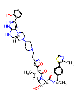 Cc1ncsc1-c1ccc([C@H](C)NC(=O)[C@@H]2C[C@@H](O)CN2C(=O)[C@@H](c2cc(CCN3CCC(N4CCN5/C(=C/C(=N)c6ccccc6O)C(=N)NC[C@H]5C4)CC3)no2)C(C)C)cc1